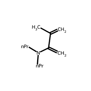 C=C(C)C(=C)N(CCC)CCC